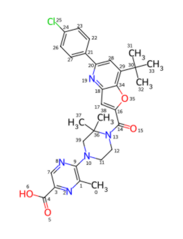 Cc1nc(C(=O)O)cnc1N1CCN(C(=O)c2cc3nc(-c4ccc(Cl)cc4)cc(C(C)(C)C)c3o2)C(C)(C)C1